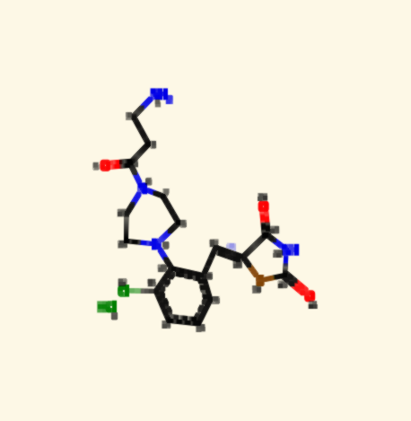 Cl.NCCC(=O)N1CCN(c2c(Cl)cccc2/C=C2\SC(=O)NC2=O)CC1